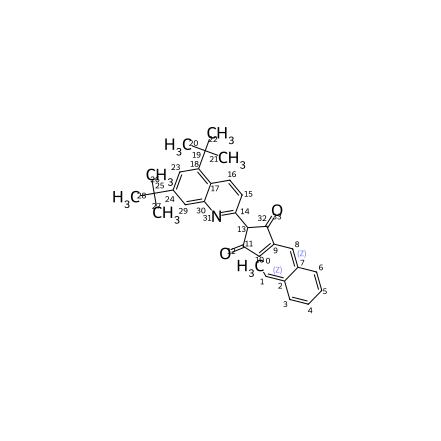 C/C=c1/cccc/c1=C/C1=CC(=O)C(c2ccc3c(C(C)(C)C)cc(C(C)(C)C)cc3n2)C1=O